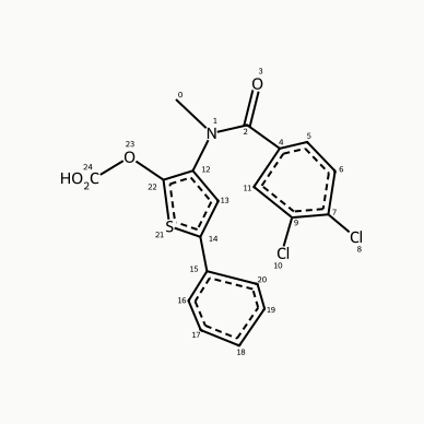 CN(C(=O)c1ccc(Cl)c(Cl)c1)c1cc(-c2ccccc2)sc1OC(=O)O